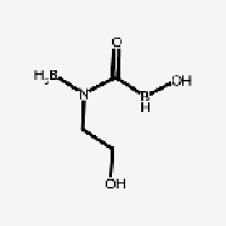 BN(CCO)C(=O)BO